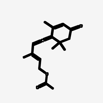 CC(=O)OCC=C(C)C=C=C1C(C)=CC(=O)CC1(C)C